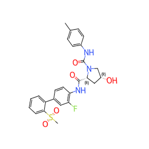 Cc1ccc(NC(=O)N2C[C@H](O)C[C@@H]2C(=O)Nc2ccc(-c3ccccc3S(C)(=O)=O)cc2F)cc1